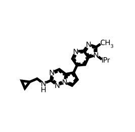 Cc1nc2ncc(-c3ccn4nc(NCC5CC5)ncc34)cc2n1C(C)C